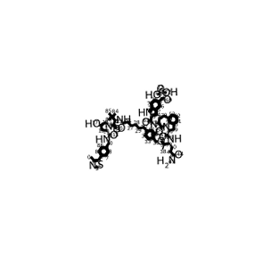 Cc1ncsc1-c1ccc(CNC(=O)[C@@H]2C[C@@H](O)CN2C(=O)[C@@H](NC(=O)CCCCCc2ccc(CO[C@H](C)[C@H](CCC(N)=O)NC(=O)[C@@H]3Cc4cccc5c4N3C(=O)[C@@H](NC(=O)c3cc4cc(C(=O)P(=O)(O)O)ccc4[nH]3)CC5)cc2)C(C)(C)C)cc1